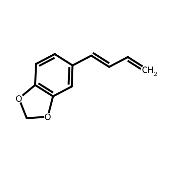 C=CC=Cc1ccc2c(c1)OCO2